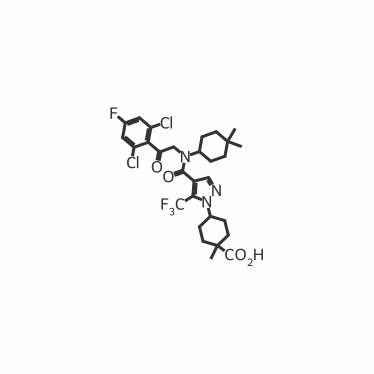 CC1(C)CCC(N(CC(=O)c2c(Cl)cc(F)cc2Cl)C(=O)c2cnn(C3CCC(C)(C(=O)O)CC3)c2C(F)(F)F)CC1